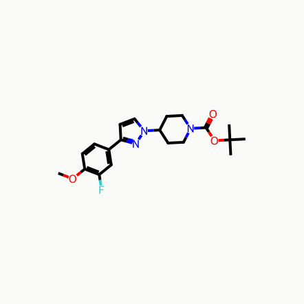 COc1ccc(-c2ccn(C3CCN(C(=O)OC(C)(C)C)CC3)n2)cc1F